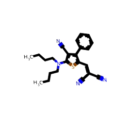 CCCCN(CCCC)c1sc(C=C(C#N)C#N)c(-c2ccccc2)c1C#N